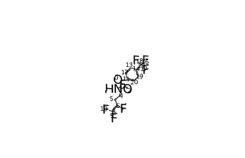 O=S(=O)(NCCC(F)=C(F)F)c1ccc(C(F)(F)F)cc1